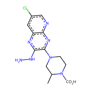 CC1CN(c2nc3ncc(Cl)cc3nc2NN)CCN1C(=O)O